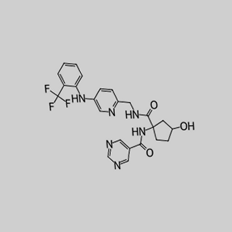 O=C(NC1(C(=O)NCc2ccc(Nc3ccccc3C(F)(F)F)cn2)CCC(O)C1)c1cncnc1